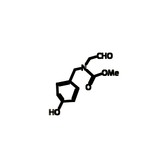 COC(=O)N(CC=O)Cc1ccc(O)cc1